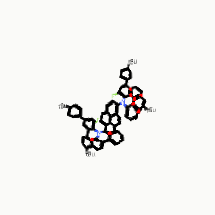 CC(C)(C)c1ccc(-c2cc(F)c(N(c3ccccc3-c3ccccc3)c3ccc4ccc5c(N(c6ccccc6-c6ccccc6)c6c(F)cc(-c7ccc(C(C)(C)C)cc7)cc6-c6ccc(C(C)(C)C)cc6)ccc6ccc3c4c65)c(-c3ccc(C(C)(C)C)cc3)c2)cc1